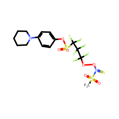 O=S(=O)(Oc1ccc(N2CCCCC2)cc1)C(F)(F)C(F)(F)C(F)(F)OO[N+](=S)S(=O)(=O)C(F)(F)F